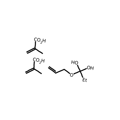 C=C(C)C(=O)O.C=C(C)C(=O)O.C=CCOC(O)(O)CC